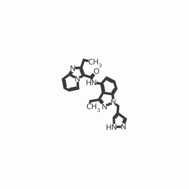 CCc1nc2ccccn2c1C(=O)Nc1cccc2c1c(CC)nn2Cc1cn[nH]c1